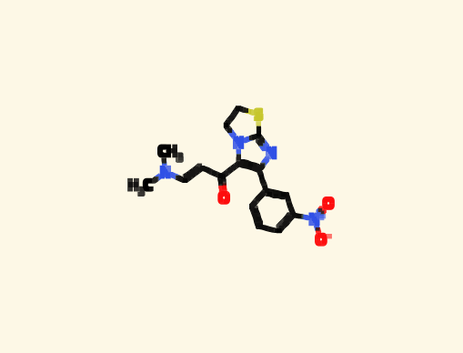 CN(C)/C=C/C(=O)c1c(-c2cccc([N+](=O)[O-])c2)nc2n1CCS2